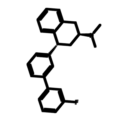 CN(C)[C@@H]1Cc2ccccc2[C@@H](c2cccc(-c3cccc(F)c3)c2)C1